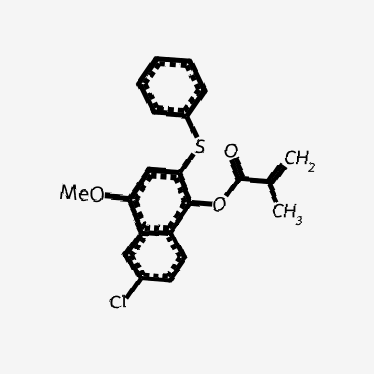 C=C(C)C(=O)Oc1c(Sc2ccccc2)cc(OC)c2cc(Cl)ccc12